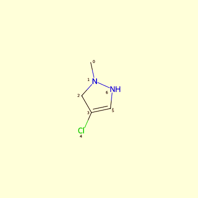 CN1CC(Cl)=[C]N1